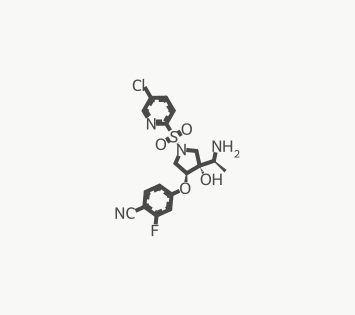 C[C@H](N)[C@]1(O)CN(S(=O)(=O)c2ccc(Cl)cn2)C[C@@H]1Oc1ccc(C#N)c(F)c1